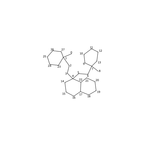 CC1(CCC2(CCC3(C)CCCCC3)CCCC3CCCCC32)CCCCC1